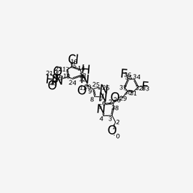 COCc1cnc(-n2cc(C(=O)Nc3cc(Cl)cc(NS(C)(=O)=O)c3)cn2)c(OCc2cc(F)cc(F)c2)c1